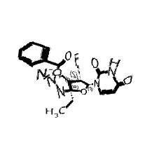 CC[C@@]1(N=[N+]=[N-])O[C@@H](n2ccc(=O)[nH]c2=O)[C@@H](F)[C@@H]1OC(=O)c1ccccc1